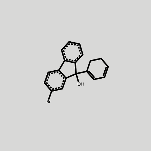 OC1(C2=CC=CCC2)c2ccccc2-c2ccc(Br)cc21